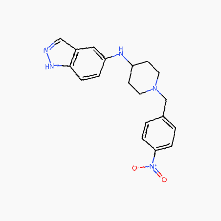 O=[N+]([O-])c1ccc(CN2CCC(Nc3ccc4[nH]ncc4c3)CC2)cc1